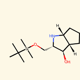 CC(C)(C)[Si](C)(C)OC[C@@H]1N[C@@H]2CCC[C@@H]2[C@H]1O